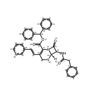 O=C(Cc1ccccc1)NC1C(=O)N2C(C(=O)OC(c3ccccc3)c3ccccc3)=C(C=Cc3cccnc3)CS[C@@H]12